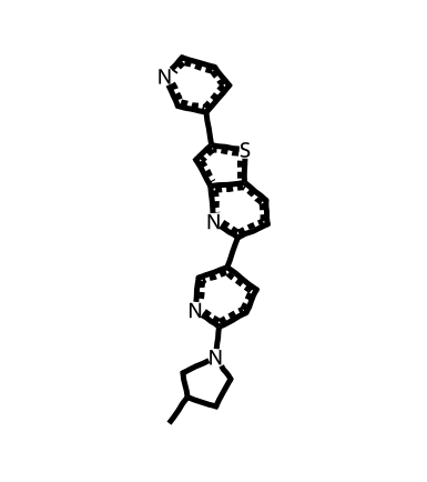 CC1CCN(c2ccc(-c3ccc4sc(-c5cccnc5)cc4n3)cn2)C1